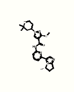 COc1nn(C2CCOC(C)(C)C2)cc1C(=O)Nc1cccc(-c2cnc3n2[C@@H](C)CC3)n1